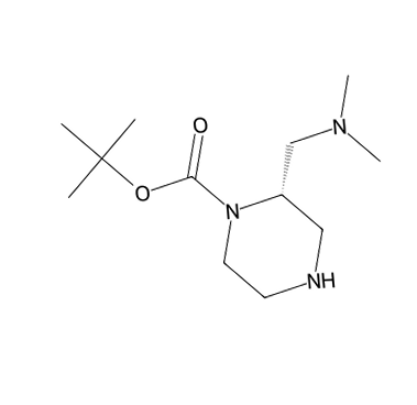 CN(C)C[C@@H]1CNCCN1C(=O)OC(C)(C)C